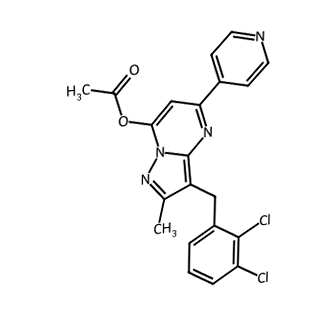 CC(=O)Oc1cc(-c2ccncc2)nc2c(Cc3cccc(Cl)c3Cl)c(C)nn12